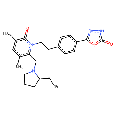 Cc1cc(C)c(=O)n(CCc2ccc(-c3n[nH]c(=O)o3)cc2)c1CN1CCC[C@@H]1CC(C)C